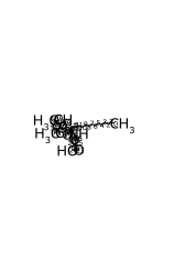 CCCCCCCCCCCCC/C=C(\C(=O)Nc1ccc(C(=O)O)cc1)c1ccc2c(c1)C(C)(C)CCC2(C)C